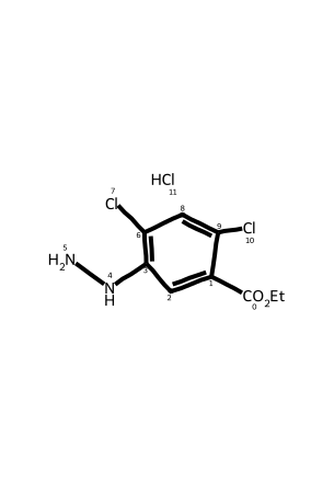 CCOC(=O)c1cc(NN)c(Cl)cc1Cl.Cl